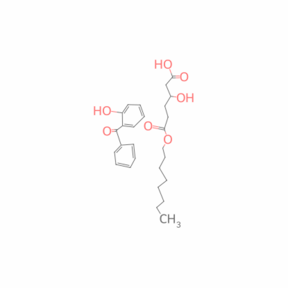 CCCCCCCCOC(=O)CCC(O)CC(=O)O.O=C(c1ccccc1)c1ccccc1O